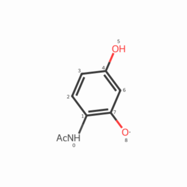 CC(=O)Nc1ccc(O)cc1[O]